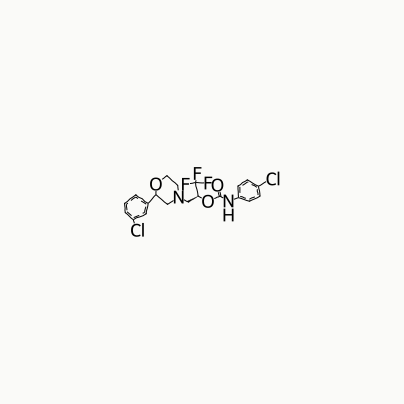 O=C(Nc1ccc(Cl)cc1)O[C@@H](CN1CCOC(c2cccc(Cl)c2)C1)C(F)(F)F